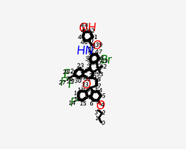 CCCCOc1ccc(C2(c3ccc(F)cc3)C=Cc3c4c(c5ccc(C(F)(F)F)cc5c3O2)-c2cc(NC(=O)c3ccc(O)cc3)cc(Br)c2C4(C)C)cc1